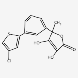 CC1(c2cccc(-c3cc(Cl)cs3)c2)OC(=O)C(O)=C1O